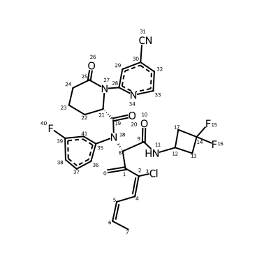 C=C(/C(Cl)=C\C=C/C)[C@@H](C(=O)NC1CC(F)(F)C1)N(C(=O)[C@@H]1CCCC(=O)N1c1cc(C#N)ccn1)c1cccc(F)c1